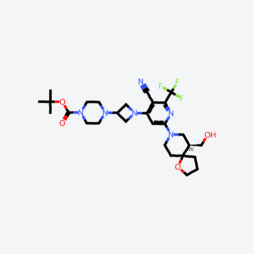 CC(C)(C)OC(=O)N1CCN(C2CN(c3cc(N4CCC5(CCCO5)[C@H](CO)C4)nc(C(F)(F)F)c3C#N)C2)CC1